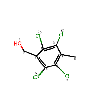 Cc1c(Cl)c(Cl)c(CO)c(Cl)c1Cl